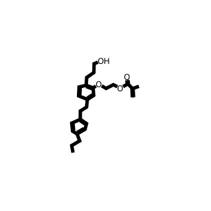 C=C(C)C(=O)OCCOc1cc(CCc2ccc(CCC)cc2)ccc1CCCO